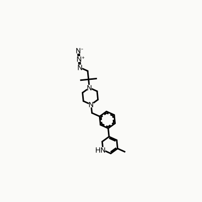 CC1=CNCC(c2cccc(CN3CCN(C(C)(C)CN=[N+]=[N-])CC3)c2)=C1